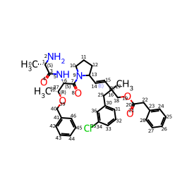 C[C@H](N)C(=O)N[C@H](C(=O)N1CCCC1/C=C/[C@](C)(COC(=O)Cc1ccccc1)Cc1cccc(Cl)c1)[C@@H](C)OCc1ccccc1